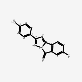 O=C1c2cc(Cl)ccc2-c2nc(-c3ccc(O)cc3)nn21